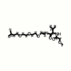 COCC(=O)NC(C(=O)NCCOCCOCCOCCC(C)C)C(C)C